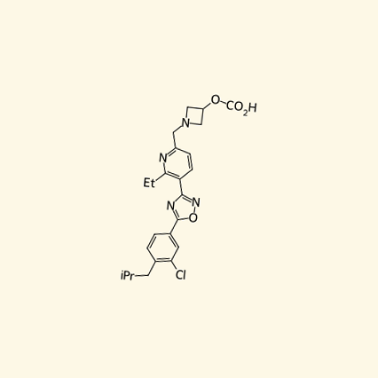 CCc1nc(CN2CC(OC(=O)O)C2)ccc1-c1noc(-c2ccc(CC(C)C)c(Cl)c2)n1